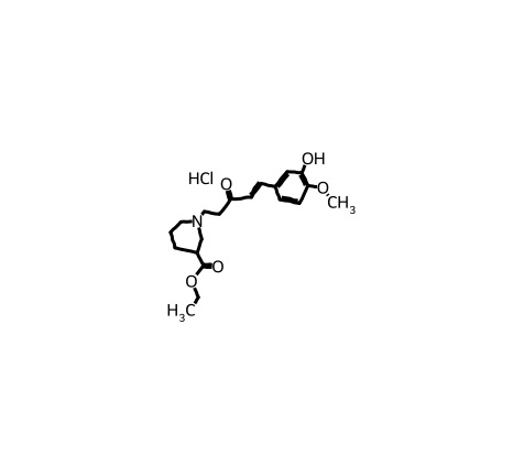 CCOC(=O)C1CCCN(CCC(=O)C=Cc2ccc(OC)c(O)c2)C1.Cl